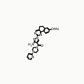 COc1ccc2c(c1)CCc1cnc(-n3cc(C(=O)N4CCN(c5ccccn5)CC4)c(N)n3)nc1-2